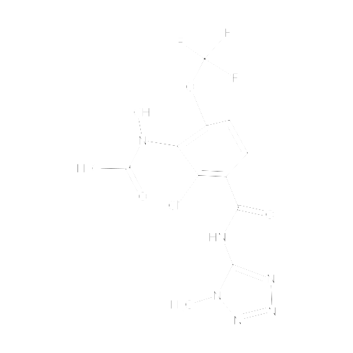 CC(=O)N(C)c1c(OC(F)(F)F)ccc(C(=O)Nc2nnnn2C)c1Cl